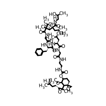 COC1C(OC(=O)NCCNC(=O)CNC(=O)[C@H](CC(C)C)NC(=O)[C@H](Cc2ccccc2)NC(=O)CNC(=O)C(C)(CC(C)(CC(C)C)C(=O)NCC(C)O)C(C)C)CC[C@]2(CO2)C1C1(C)O[C@@H]1CCC(C)C